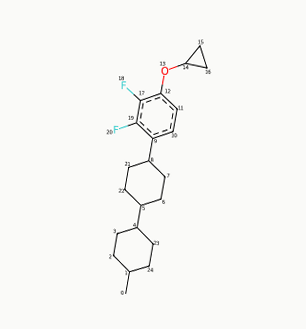 CC1CCC(C2CCC(c3ccc(OC4CC4)c(F)c3F)CC2)CC1